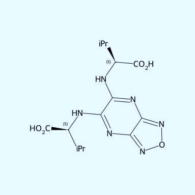 CC(C)[C@H](Nc1nc2nonc2nc1N[C@H](C(=O)O)C(C)C)C(=O)O